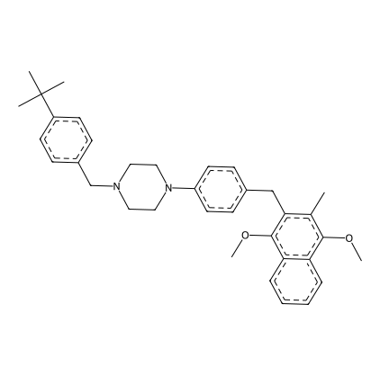 COc1c(C)c(Cc2ccc(N3CCN(Cc4ccc(C(C)(C)C)cc4)CC3)cc2)c(OC)c2ccccc12